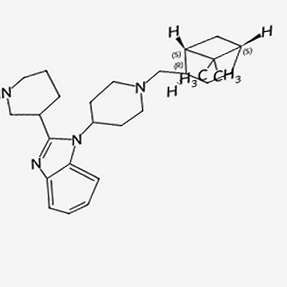 CC1(C)[C@H]2CC[C@@H](CN3CCC(n4c(C5CCCNC5)nc5ccccc54)CC3)[C@@H]1C2